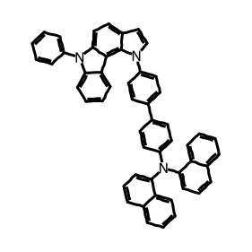 c1ccc(-n2c3ccccc3c3c4c(ccc32)ccn4-c2ccc(-c3ccc(N(c4cccc5ccccc45)c4cccc5ccccc45)cc3)cc2)cc1